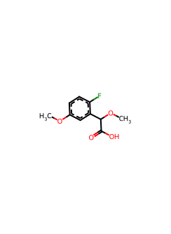 COc1ccc(F)c(C(OC)C(=O)O)c1